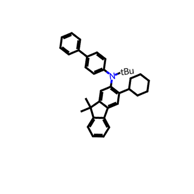 CC1(C)c2ccccc2-c2cc(C3CCCCC3)c(N(c3ccc(-c4ccccc4)cc3)C(C)(C)C)cc21